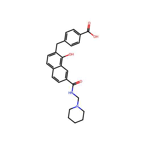 O=C(O)c1ccc(Cc2ccc3ccc(C(=O)NCN4CCCCC4)cc3c2O)cc1